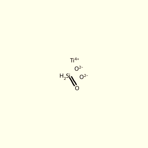 O=[SiH2].[O-2].[O-2].[Ti+4]